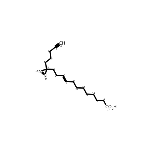 C#CCCCC1(CCC=CCCCCCCCC(=O)O)N=N1